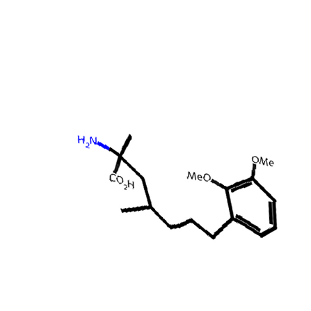 COc1cccc(CCCC(C)CC(C)(N)C(=O)O)c1OC